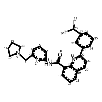 O=C(Nc1cccc(CN2CCCC2)n1)c1cccc2ccc(-c3cccc(C(F)F)c3)nc12